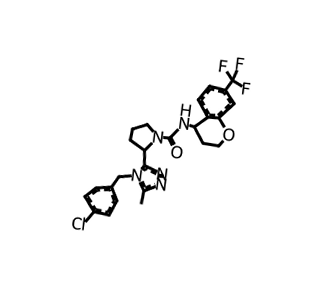 Cc1nnc(C2CCCN2C(=O)NC2CCOc3cc(C(F)(F)F)ccc32)n1Cc1ccc(Cl)cc1